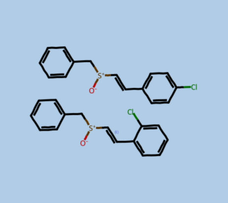 [O-][S+](/C=C/c1ccccc1Cl)Cc1ccccc1.[O-][S+](C=Cc1ccc(Cl)cc1)Cc1ccccc1